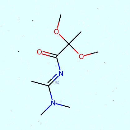 COC(C)(OC)C(=O)/N=C(\C)N(C)C